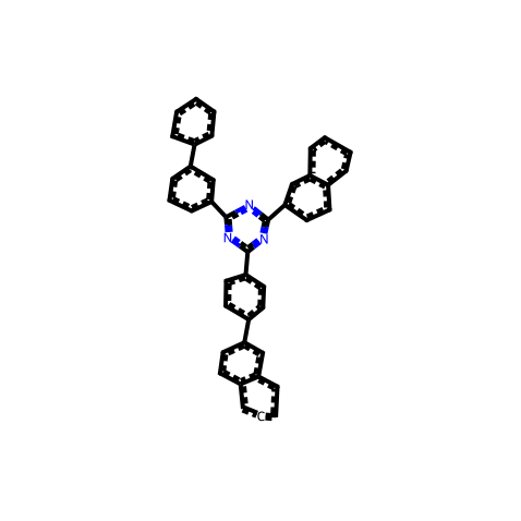 c1ccc(-c2cccc(-c3nc(-c4ccc(-c5ccc6ccccc6c5)cc4)nc(-c4ccc5ccccc5c4)n3)c2)cc1